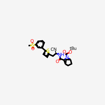 CC(C)(C)OC(=O)N1C2CCC(C2)C1C(=O)N[C@H](C#N)Cc1ccc(-c2cccc(S(C)(=O)=O)c2)s1